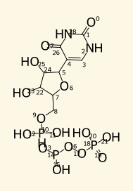 O=c1[nH]cc(C2OC(CO[PH](O)(O)OP(O)OOP(=O)(O)O)C(O)C2O)c(=O)[nH]1